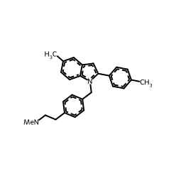 CNCCc1ccc(Cn2c(-c3ccc(C)cc3)cc3cc(C)ccc32)cc1